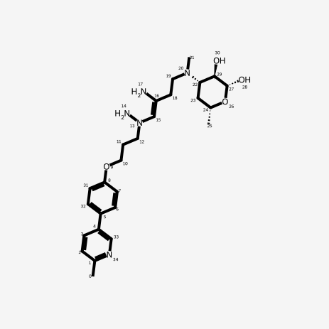 Cc1ccc(-c2ccc(OCCCN(N)/C=C(\N)CCN(C)[C@H]3C[C@@H](C)O[C@@H](O)[C@@H]3O)cc2)cn1